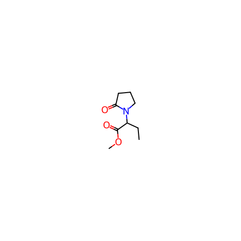 CCC(C(=O)OC)N1CCCC1=O